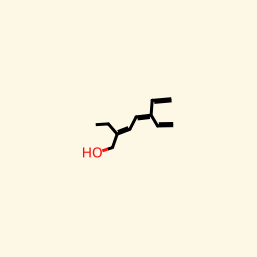 C=CC(C=C)=C/C=C(\CC)CO